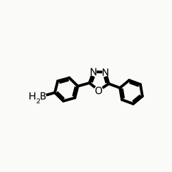 Bc1ccc(-c2nnc(-c3ccccc3)o2)cc1